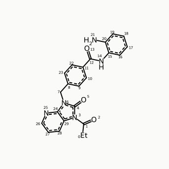 CCC(=O)n1c(=O)n(Cc2ccc(C(=O)Nc3ccccc3N)cc2)c2ncccc21